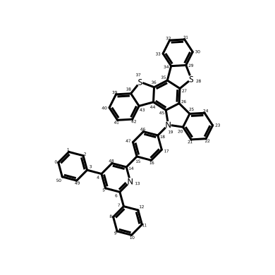 c1ccc(-c2cc(-c3ccccc3)nc(-c3ccc(-n4c5ccccc5c5c6sc7ccccc7c6c6sc7ccccc7c6c54)cc3)c2)cc1